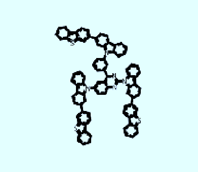 c1cc(-c2nc(-n3c4ccccc4c4ccc(-c5ccc6c(c5)sc5ccccc56)cc43)nc3ccc(-n4c5ccccc5c5ccc(-c6ccc7c(c6)sc6ccccc67)cc54)cc23)cc(-n2c3ccccc3c3ccc(-c4ccc5c(c4)sc4ccccc45)cc32)c1